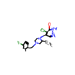 CCC1CN(Cc2ccc(F)cc2C)CCN1c1cn[nH]c(=O)c1Cl